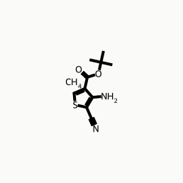 C.CC(C)(C)OC(=O)c1csc(C#N)c1N